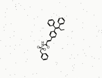 CCC(=C(c1ccccc1)c1ccc(C=CC(=O)NS(=O)(=O)Cc2ccccc2)cc1)c1ccccc1